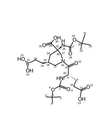 CC(C)(C)OC(=O)N[C@@H](CCC(=O)O)C(=O)N1C[C@@H](CCB(O)O)C[C@](NC(=O)OC(C)(C)C)(C(=O)O)C1